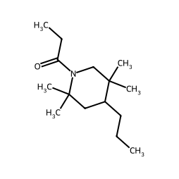 CCCC1CC(C)(C)N(C(=O)CC)CC1(C)C